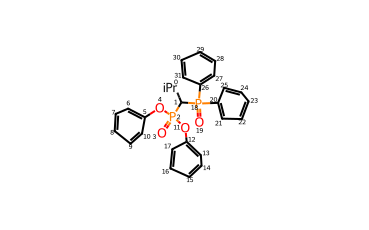 CC(C)C(P(=O)(Oc1ccccc1)Oc1ccccc1)P(=O)(c1ccccc1)c1ccccc1